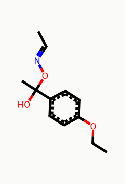 CC=NOC(C)(O)c1ccc(OCC)cc1